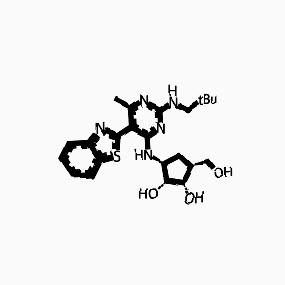 Cc1nc(NCC(C)(C)C)nc(N[C@H]2C[C@@H](CO)[C@H](O)[C@@H]2O)c1-c1nc2ccccc2s1